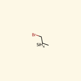 CCCBr.[SiH4]